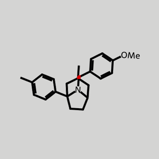 COc1ccc(CN2C3CCC2(c2ccc(C)cc2)CC(C)C3)cc1